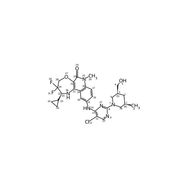 C[C@@H]1C[C@H](CO)CN(c2ncc(Cl)c(Nc3ccc4c(c3)c3c(c(=O)n4C)OCC(F)(F)[C@H](C4CC4)N3)n2)C1